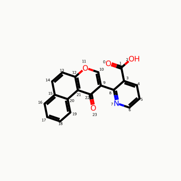 O=C(O)c1cccnc1-c1coc2ccc3ccccc3c2c1=O